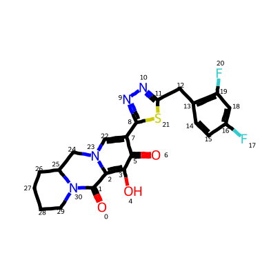 O=C1c2c(O)c(=O)c(-c3nnc(Cc4ccc(F)cc4F)s3)cn2CC2CCCCN12